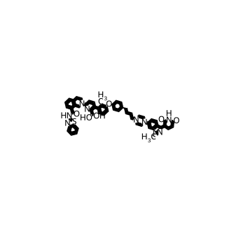 Cc1c(O[C@H]2CC[C@H](CCCCN3CCN(c4ccc5c(C6CCC(=O)NC6=O)nn(C)c5c4)CC3)CC2)cccc1-c1ccc(N2CCc3cccc(C(=O)Nc4nc5ccccc5s4)c3C2)nc1C(O)O